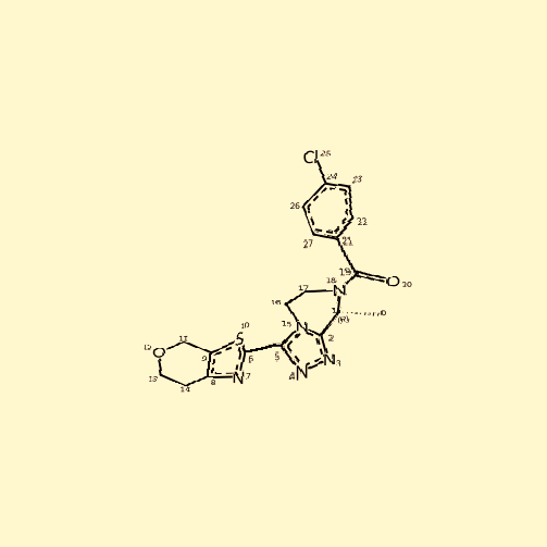 C[C@@H]1c2nnc(-c3nc4c(s3)COCC4)n2CCN1C(=O)c1ccc(Cl)cc1